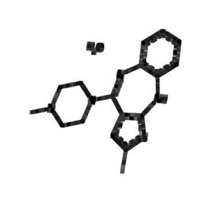 Cc1cc2c(s1)Nc1ccccc1N=C2N1CCN(C)CC1.O